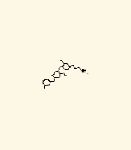 C=Cc1cc(Cc2cccc(C)c2)ccc1Cc1ccc(CCCN)cc1C